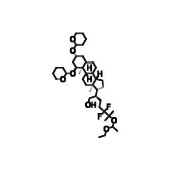 CCOC(C)OC(C)(C)C(F)(F)CC[C@@H](CO)[C@H]1CC[C@H]2[C@@H]3CC=C4C[C@@H](OC5CCCCO5)C[C@H](OC5CCCCO5)[C@]4(C)[C@H]3CC[C@]12C